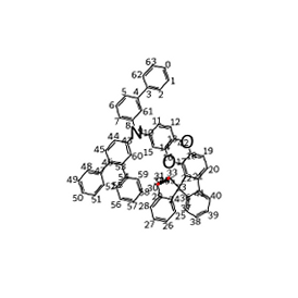 c1ccc(-c2cccc(N(c3ccc4c(c3)Oc3c(ccc5c3C3(c6ccccc6-c6ccccc63)c3ccccc3-5)O4)c3ccc(-c4ccccc4)c(-c4ccccc4)c3)c2)cc1